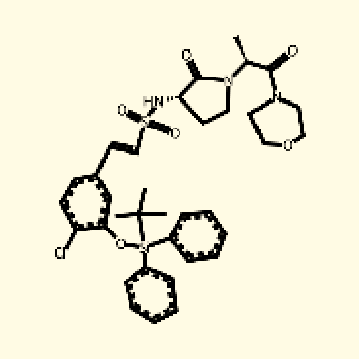 C[C@@H](C(=O)N1CCOCC1)N1CC[C@H](NS(=O)(=O)/C=C/c2ccc(Cl)c(O[Si](c3ccccc3)(c3ccccc3)C(C)(C)C)c2)C1=O